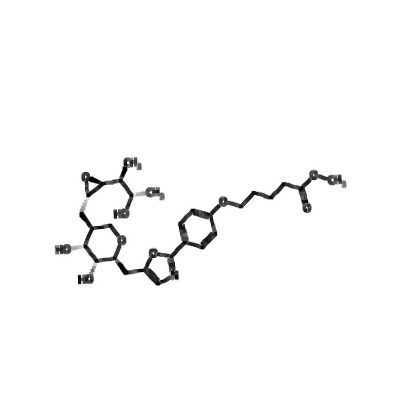 COC(=O)CCCCOc1ccc(-c2ncc(C[C@@H]3OC[C@H](C[C@@H]4O[C@H]4[C@@H](C)[C@H](C)O)[C@@H](O)[C@H]3O)o2)cc1